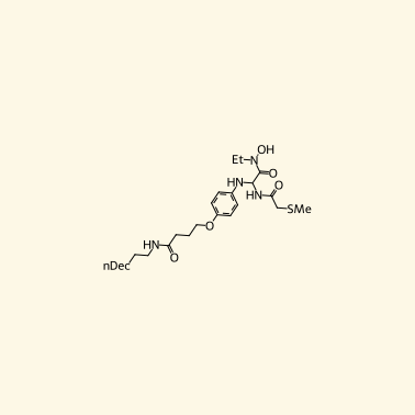 CCCCCCCCCCCCNC(=O)CCCOc1ccc(NC(NC(=O)CSC)C(=O)N(O)CC)cc1